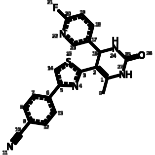 CC1=C(c2nc(-c3ccc(C#N)cc3)cs2)C(c2ccc(F)nc2)NC(=O)N1